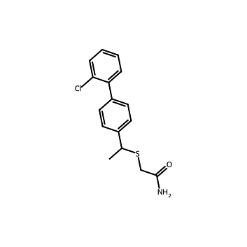 CC(SCC(N)=O)c1ccc(-c2ccccc2Cl)cc1